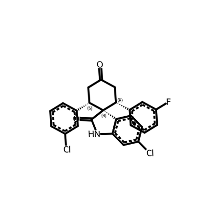 O=C1C[C@H](c2cccc(F)c2)[C@@]2(C(=O)Nc3cc(Cl)ccc32)[C@H](c2cccc(Cl)c2)C1